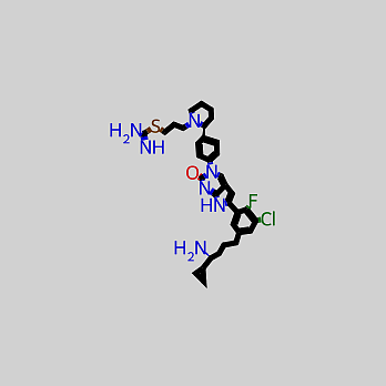 N=C(N)SCCCN1CCCC[C@H]1c1ccc(-n2cc3cc(-c4cc(CCC[C@@H](N)C5CC5)cc(Cl)c4F)[nH]c3nc2=O)cc1